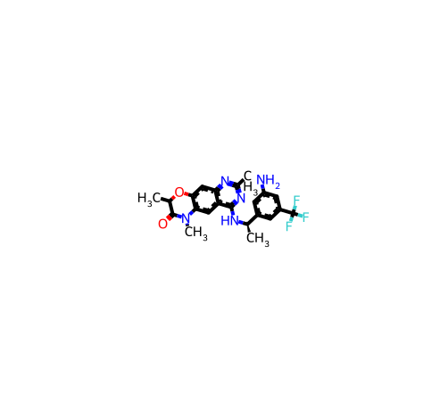 Cc1nc(N[C@H](C)c2cc(N)cc(C(F)(F)F)c2)c2cc3c(cc2n1)OC(C)C(=O)N3C